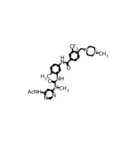 CC(=O)Nc1cc(N(C)C(=O)Nc2cc(NC(=O)c3ccc(CN4CCN(C)CC4)c(C(F)(F)F)c3)ccc2C)ncn1